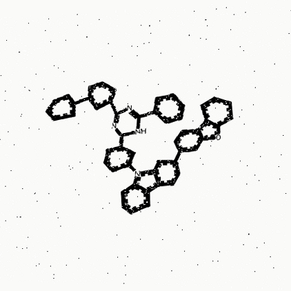 c1ccc(C2=NC(c3cccc(-c4ccccc4)c3)=NC(c3cccc(-n4c5ccccc5c5ccc(-c6ccc7c(c6)oc6ccccc67)cc54)c3)N2)cc1